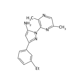 CCc1cccc(-c2cc(N)n(-c3nc(C)cnc3C)n2)c1